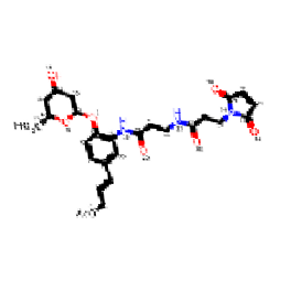 CC(=O)OC/C=C/c1ccc(OC2CC(O)CC(C(=O)O)O2)c(NC(=O)CCNC(=O)CCN2C(=O)C=CC2=O)c1